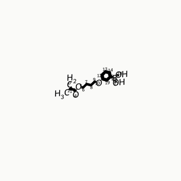 C=C(C)C(=O)OCCCCOc1cccc(B(O)O)c1